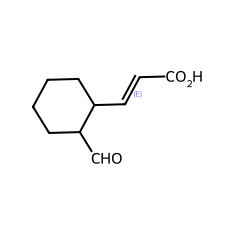 O=CC1CCCCC1/C=C/C(=O)O